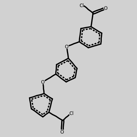 O=C(Cl)c1cccc(Oc2cccc(Oc3cccc(C(=O)Cl)c3)c2)c1